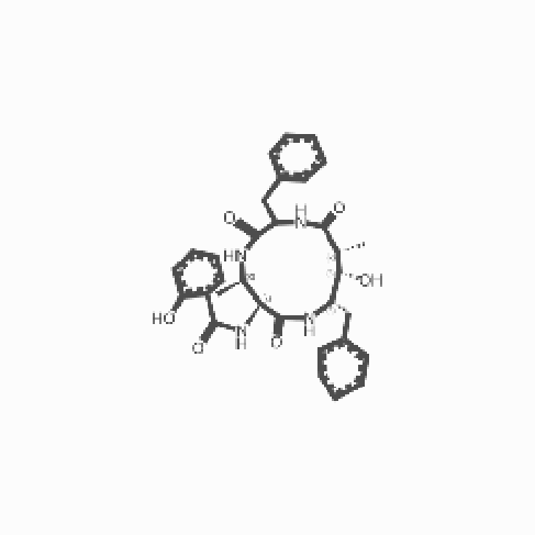 C[C@H]1NC(=O)C(Cc2ccccc2)NC(=O)[C@H](C)[C@H](O)[C@H](Cc2ccccc2)NC(=O)[C@H]1NC(=O)c1ccccc1O